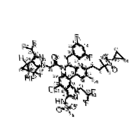 CC(C)(CCc1nc([C@H](Cc2cc(F)cc(F)c2)NC(=O)Cn2nc(C(F)F)c3c2C(F)(F)[C@@H]2C[C@H]32)c(-c2ccc(Cl)c3c(NS(C)(=O)=O)nn(CC(F)F)c23)cc1I)S(=O)(=O)C1CC1